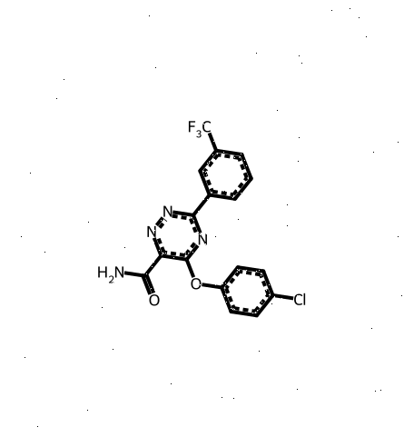 NC(=O)c1nnc(-c2cccc(C(F)(F)F)c2)nc1Oc1ccc(Cl)cc1